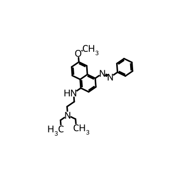 CCN(CC)CCNc1ccc(/N=N/c2ccccc2)c2cc(OC)ccc12